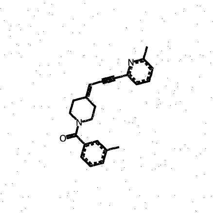 Cc1cccc(C(=O)N2CCC(=CC#Cc3cccc(C)n3)CC2)c1